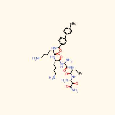 CCCCc1ccc(-c2ccc(C(=O)N[C@@H](CCCCN)C(=O)N[C@@H](CCCCN)C(=O)N[C@@H](N)C(=O)N[C@@H](CC(C)C)C(=O)N[C@@H](N)C(=O)C(N)=O)cc2)cc1